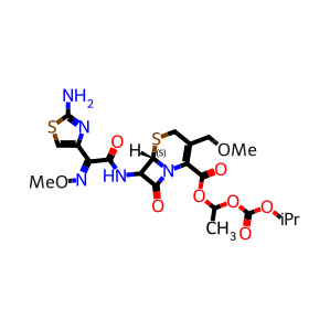 COCC1=C(C(=O)OC(C)OC(=O)OC(C)C)N2C(=O)C(NC(=O)C(=NOC)c3csc(N)n3)[C@@H]2SC1